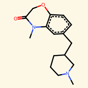 CN1CCCC(Cc2ccc3c(c2)N(C)C(=O)CO3)C1